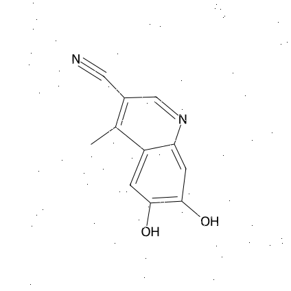 Cc1c(C#N)cnc2cc(O)c(O)cc12